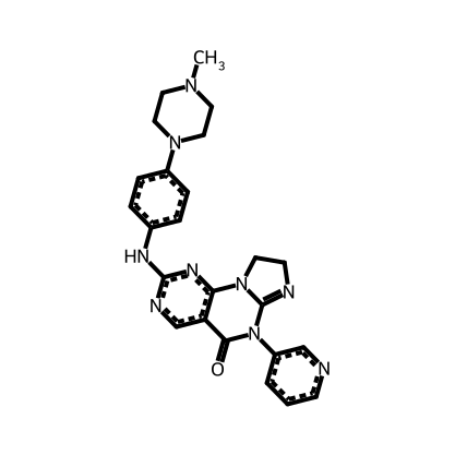 CN1CCN(c2ccc(Nc3ncc4c(n3)N3CCN=C3N(c3cccnc3)C4=O)cc2)CC1